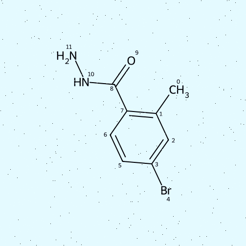 Cc1cc(Br)ccc1C(=O)NN